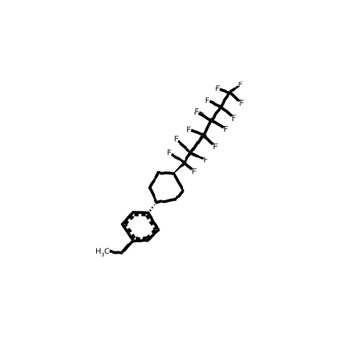 CCc1ccc([C@H]2CC[C@H](C(F)(F)C(F)(F)C(F)(F)C(F)(F)C(F)(F)C(F)(F)F)CC2)cc1